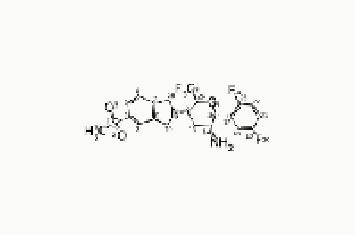 CS(=O)(=O)c1ccc2c(c1)CN([C@@H]1C[C@H](N)[C@@H](c3cc(F)ccc3F)O[C@@H]1C(F)(F)F)C2